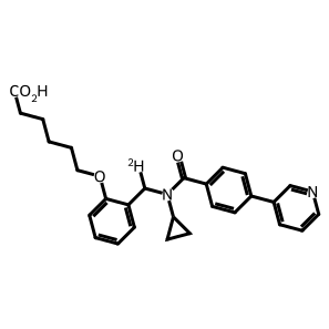 [2H]C(c1ccccc1OCCCCCC(=O)O)N(C(=O)c1ccc(-c2cccnc2)cc1)C1CC1